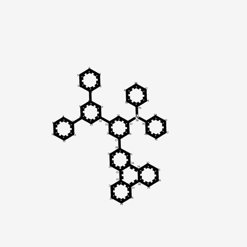 c1ccc(-c2cc(-c3ccccc3)cc(-c3cc(-c4ccc5c6ccccc6c6ccccc6c5c4)cc(N(c4ccccc4)c4ccccc4)c3)c2)cc1